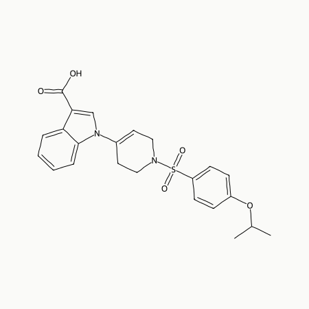 CC(C)Oc1ccc(S(=O)(=O)N2CC=C(n3cc(C(=O)O)c4ccccc43)CC2)cc1